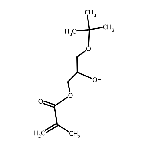 C=C(C)C(=O)OCC(O)COC(C)(C)C